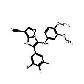 COc1ccc(Nc2c(-c3cc(F)c(F)c(F)c3)[nH]c3c(C#N)cnn23)cc1OC